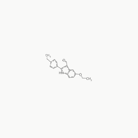 CCOc1ccc2[nH]c(-c3ccc(CC)cc3)c(C=O)c2c1